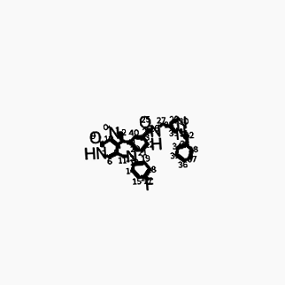 Cn1cc2c3c(c[nH]c(=O)c31)CN(c1ccc(F)cc1)c1ccc(C(=O)NCc3cnn(Cc4ccccc4)c3)cc1-2